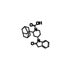 O=C(O)N1CCC(N2C(=O)Cc3ccccc32)CC1C12CC3CC(CC(C3)C1)C2